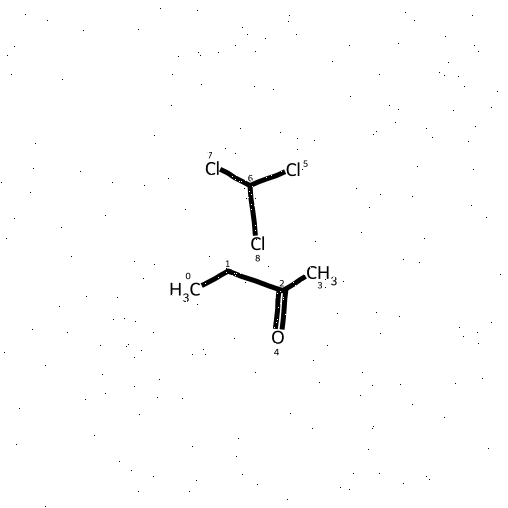 CCC(C)=O.ClC(Cl)Cl